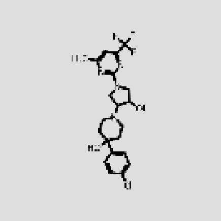 Cc1cc(C(F)(F)F)nc(N2CC(O)C(N3CCC(O)(c4ccc(Cl)cc4)CC3)C2)n1